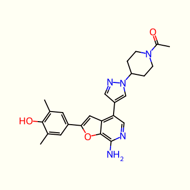 CC(=O)N1CCC(n2cc(-c3cnc(N)c4oc(-c5cc(C)c(O)c(C)c5)cc34)cn2)CC1